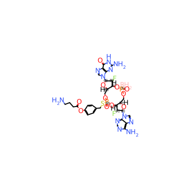 B[P@]1(=O)OC[C@H]2O[C@@H](n3cnc4c(N)ncnc43)[C@H](F)[C@@H]2O[P@](=O)(SCc2ccc(OC(=O)CCCN)cc2)OC[C@H]2O[C@@H](n3cnc4c(=O)[nH]c(N)nc43)[C@H](F)[C@@H]2O1